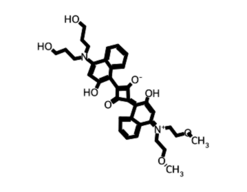 COCC[N+](CCOC)=C1C=C(O)/C(=C2/C(=O)C(c3c(O)cc(N(CCCO)CCCO)c4ccccc34)=C2[O-])c2ccccc21